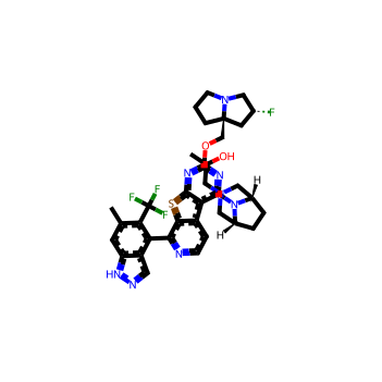 Cc1cc2[nH]ncc2c(-c2nccc3c2sc2nc(OC[C@@]45CCCN4C[C@H](F)C5)nc(N4[C@@H]5CC[C@H]4CN(CC(C)O)C5)c23)c1C(F)(F)F